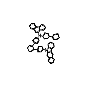 C1=C(c2ccccc2)CCC(N(c2ccc(C3=CCCC=C3c3ccc(-n4c5ccccc5c5cc6ccccc6cc54)cc3)cc2)c2cc3ccccc3c3ccccc23)=C1